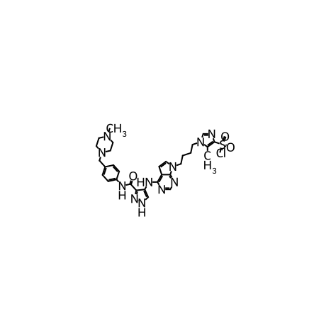 Cc1c(S(=O)(=O)Cl)ncn1CCCCn1ccc2c(Nc3c[nH]nc3C(=O)Nc3ccc(CN4CCN(C)CC4)cc3)ncnc21